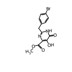 COC(=O)c1nc(Cc2ccc(Br)cc2)[nH]c(=O)c1O